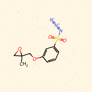 CC1(COc2cccc(S(=O)(=O)N=[N+]=[N-])c2)CO1